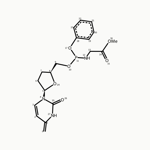 C=C1C=CN([C@H]2CC[C@@H](COP(NCC(=O)OC)Oc3ccccc3)O2)C(=O)N1